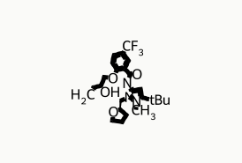 C=C[C@H](O)COc1ccc(C(F)(F)F)cc1C(=O)/N=c1\cc(C(C)(C)C)n(C)n1C[C@H]1CCCO1